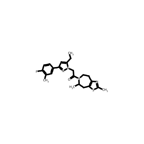 CCc1cc(-c2ccc(F)c(C)c2)nn1CC(=O)N1CCc2nc(C)sc2CC1C